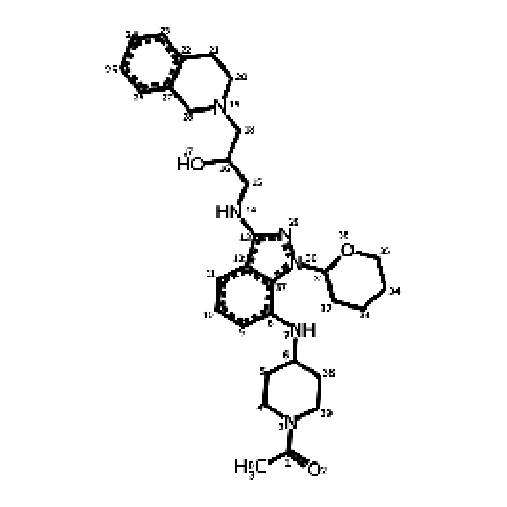 CC(=O)N1CCC(Nc2cccc3c(NCC(O)CN4CCc5ccccc5C4)nn(C4CCCCO4)c23)CC1